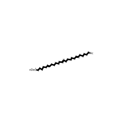 CCCCCCCCCCCCCCC/C=C/CCCCC/C=C/CCCCC/C=C/CCCCCC(C)=O